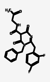 CC(=O)CNC(=O)C1C(=O)N=C(Cc2ccc(F)cc2F)N(Cc2ccccc2)C1=O